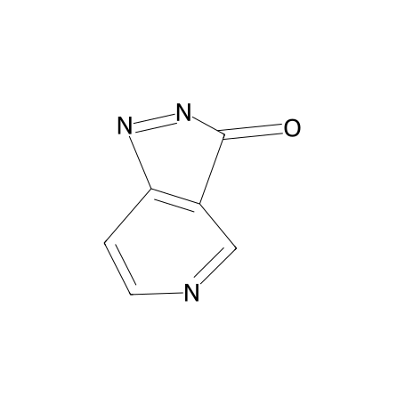 O=C1N=Nc2ccncc21